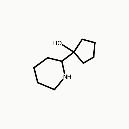 OC1(C2CCCCN2)CCCC1